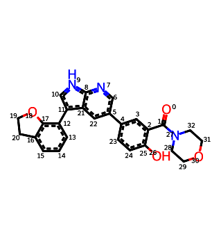 O=C(c1cc(-c2cnc3[nH]cc(-c4cccc5c4OCC5)c3c2)ccc1O)N1CCOCC1